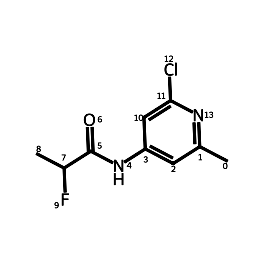 Cc1cc(NC(=O)C(C)F)cc(Cl)n1